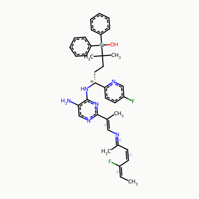 C\C=C(F)/C=C\C(C)=N\C=C(/C)c1ncc(N)c(N[C@H](CCC(C)(C)[Si](O)(c2ccccc2)c2ccccc2)c2ccc(F)cn2)n1